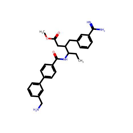 CCC(NC(=O)c1ccc(-c2cccc(CN)c2)cc1)C(CC(=O)OC)Cc1cccc(C(=N)N)c1